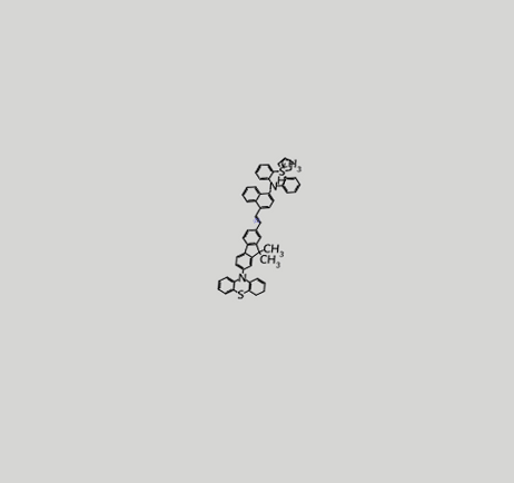 CC1(C)c2cc(/C=C/c3ccc(N4c5ccccc5[SH]5(C)(CCCC5)c5ccccc54)c4ccccc34)ccc2-c2ccc(N3C4=C(CCC=C4)Sc4ccccc43)cc21